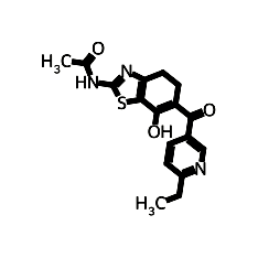 CCc1ccc(C(=O)C2=C(O)c3sc(NC(C)=O)nc3CC2)cn1